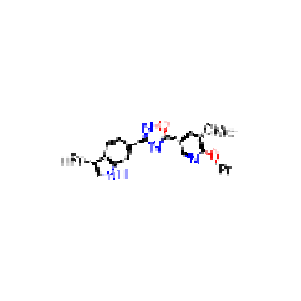 CCCc1c[nH]c2cc(-c3noc(-c4cnc(OC(C)C)c(OC)c4)n3)ccc12